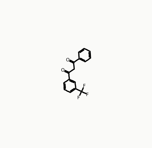 O=C(CC(=O)c1cccc(C(F)(F)F)c1)c1ccccc1